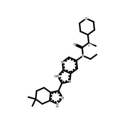 CCN(C(=O)[C@H](C)C1CCOCC1)c1cnc2[nH]c(-c3n[nH]c4c3CCC(C)(C)C4)nc2c1